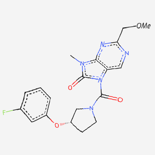 COCc1ncc2c(n1)n(C)c(=O)n2C(=O)N1CC[C@H](Oc2cccc(F)c2)C1